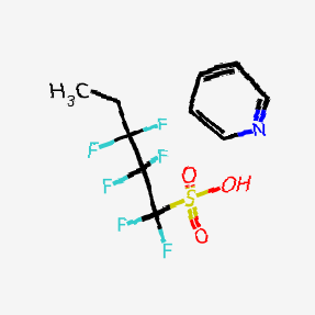 CCC(F)(F)C(F)(F)C(F)(F)S(=O)(=O)O.c1ccncc1